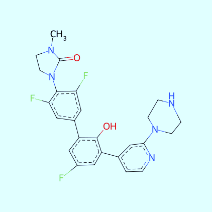 CN1CCN(c2c(F)cc(-c3cc(F)cc(-c4ccnc(N5CCNCC5)c4)c3O)cc2F)C1=O